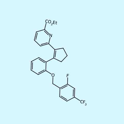 CCOC(=O)c1cccc(C2=C(c3ccccc3OCc3ccc(C(F)(F)F)cc3F)CCC2)n1